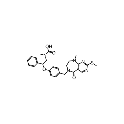 CSc1ncc2c(n1)N(C)CCN(Cc1ccc(OC(CN(C)C(=O)O)c3ccccc3)cc1)C2=O